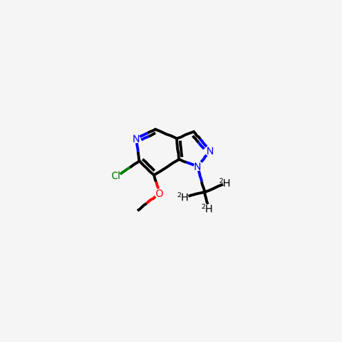 [2H]C([2H])([2H])n1ncc2cnc(Cl)c(OC)c21